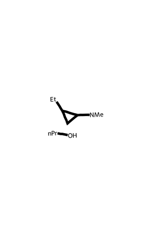 CCC1CC1NC.CCCO